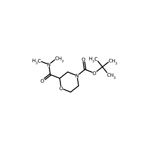 CN(C)C(=O)C1CN(C(=O)OC(C)(C)C)CCO1